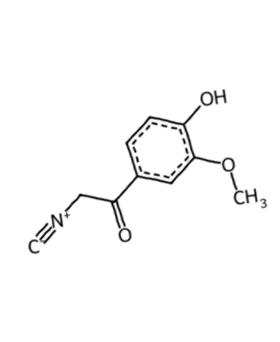 [C-]#[N+]CC(=O)c1ccc(O)c(OC)c1